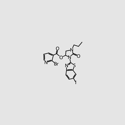 CCCN1CC(OC(=O)c2cccnc2Br)N(c2nc3ccc(I)cc3s2)C1=O